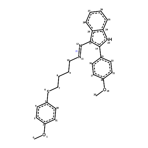 COc1ccc(SCCCC/N=N/c2c(-c3ccc(OC)cc3)[nH]c3ccccc23)cc1